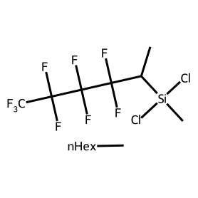 CC(C(F)(F)C(F)(F)C(F)(F)C(F)(F)F)[Si](C)(Cl)Cl.CCCCCCC